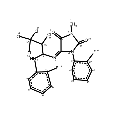 CN1C(=O)C(=NC(Nc2ccccc2F)C(Cl)C(Cl)(Cl)Cl)N(c2ccccc2F)C1=O